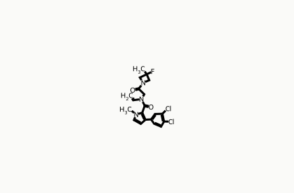 C=CN(CC(=O)N1CC(C)(F)C1)C(=O)c1c(-c2ccc(Cl)c(Cl)c2)ccn1C